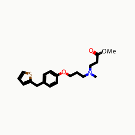 COC(=O)CCN(C)CCCOc1ccc(Cc2cccs2)cc1